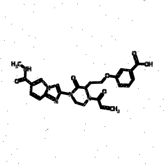 C=CC(=O)N1CCN(c2cn3cc(C(=O)NC)ccc3n2)C(=O)C1CCOc1cccc(C(=O)O)c1